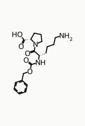 NCCCC[C@H](NC(=O)OCc1ccccc1)C(=O)N1CCC[C@H]1C(=O)O